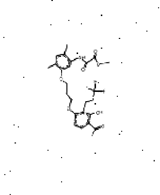 COC(=O)C(=O)Nc1cc(OCCCOc2ccc(C(C)=O)c(O)c2CCC(F)(F)F)c(C)cc1C